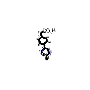 C=C/C=C\C(=C/N)c1ccc(CC(=O)O)cc1